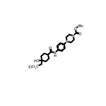 CCOC(=O)CC1(O)CCC(C(=O)Nc2ccc(N3CCN(C(=O)OC(C)(C)C)CC3)cc2)CC1